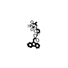 Cc1cn([C@H]2CC[C@@H](COC(=O)CC3c4ccccc4-c4ccccc43)O2)c(=O)[nH]c1=O